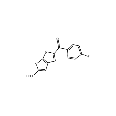 O=C(O)c1cc2cc(C(=O)c3ccc(F)cc3)sc2s1